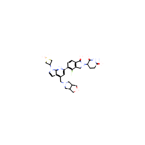 O=C1CCC(N2Cc3c(ccc(-c4cc(CN5CC6COCC6C5)c5ccn(C6CS(=O)(=O)C6)c5n4)c3F)C2=O)C(=O)N1